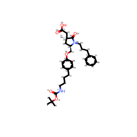 CC(C)(C)OC(=O)NCCCCc1ccc(OC[C@H]2C[C@@](C)(CC(=O)O)C(=O)N2CCCc2ccccc2)cc1